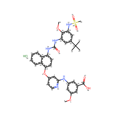 COc1cc(Nc2cc(Oc3ccc(NC(=O)Nc4cc(C(C)(C)C)cc(NS(C)(=O)=O)c4OC)c4ccccc34)ccn2)cc(C(=O)O)c1.Cl